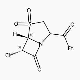 CCC(=O)C1CS(=O)(=O)[C@H]2[C@@H](Cl)C(=O)N12